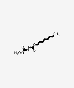 CCCCCCCCOC(=O)N=NC(=O)OC